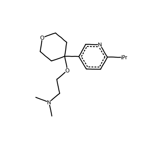 CC(C)c1ccc(C2(OCCN(C)C)CCOCC2)cn1